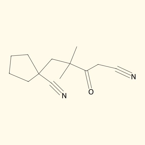 CC(C)(CC1(C#N)CCCC1)C(=O)CC#N